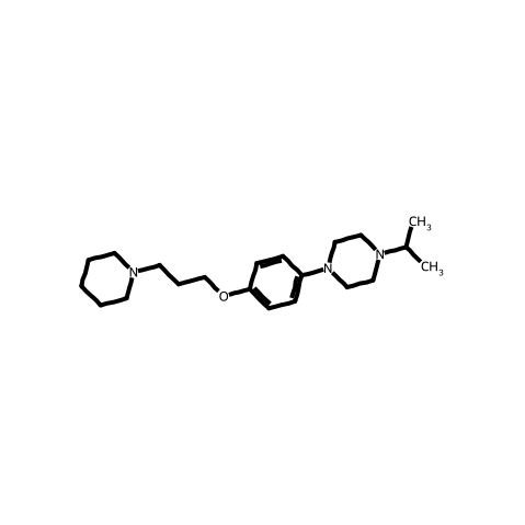 CC(C)N1CCN(c2ccc(OCCCN3CCCCC3)cc2)CC1